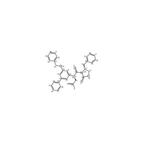 C=C(C)C[C@H](C(=O)N1C(=O)OC[C@@H]1Cc1ccccc1)c1cc(OCc2ccccc2)cc(-c2ccccc2)c1